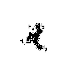 C=C(C)C(=O)OCCOC(=O)c1cccc(C(=O)OCCn2c(=O)n(CCOC(=O)c3ccccc3C(=O)OCCOC(=O)C(=C)C)c(=O)n(CCOC(=O)c3ccccc3C(=O)OCCOC(=O)C(=C)C)c2=O)c1